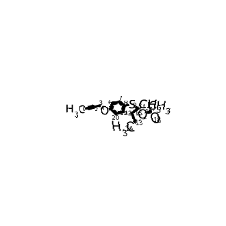 CC#CCOc1ccc(SC(C)(CCC)OC(C)=O)cc1